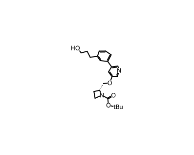 CC(C)(C)OC(=O)N1CC[C@@H]1COc1cncc(-c2cccc(CCCO)c2)c1